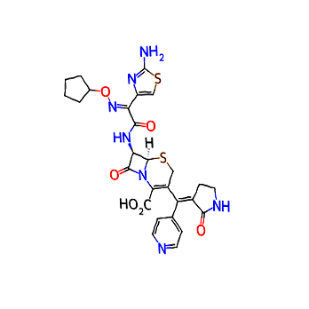 Nc1nc(C(=NOC2CCCC2)C(=O)N[C@@H]2C(=O)N3C(C(=O)O)=C(C(=C4CCNC4=O)c4ccncc4)CS[C@H]23)cs1